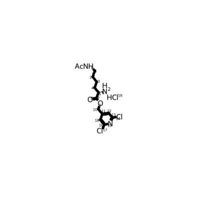 CC(=O)NCCCC[C@H](N)C(=O)OCc1cc(Cl)nc(Cl)c1.Cl